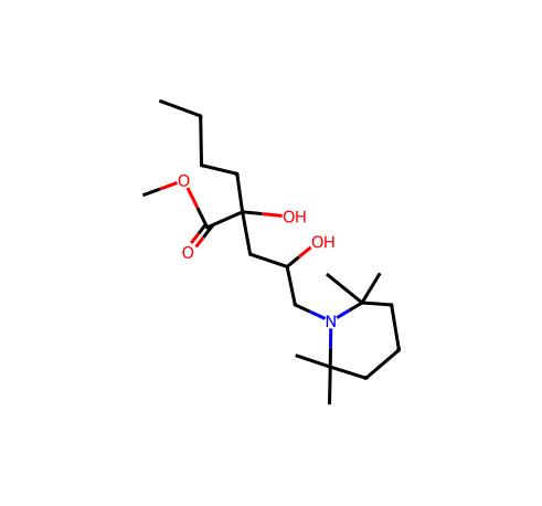 CCCCC(O)(CC(O)CN1C(C)(C)CCCC1(C)C)C(=O)OC